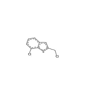 ClCc1cc2cccc(Cl)c2s1